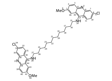 COc1ccc2nc3cc(Cl)ccc3c(NCCCCCCCCCCCCCNc3c4ccc(Cl)cc4nc4ccc(OC)cc34)c2c1